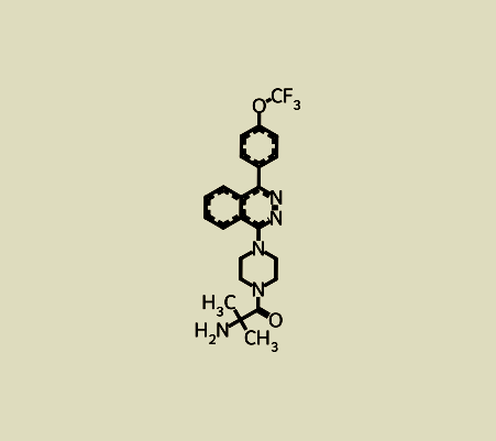 CC(C)(N)C(=O)N1CCN(c2nnc(-c3ccc(OC(F)(F)F)cc3)c3ccccc23)CC1